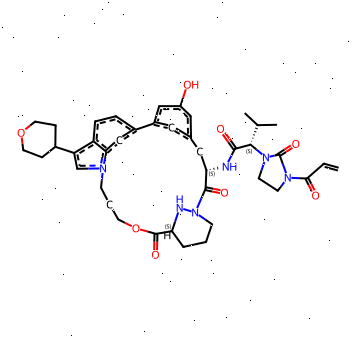 C=CC(=O)N1CCN([C@H](C(=O)N[C@H]2Cc3cc(O)cc(c3)-c3ccc4c(C5CCOCC5)cn(c4c3)CCCOC(=O)[C@@H]3CCCN(N3)C2=O)C(C)C)C1=O